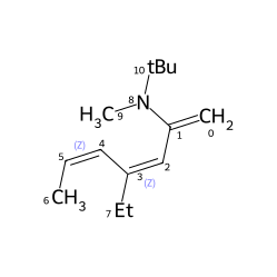 C=C(/C=C(\C=C/C)CC)N(C)C(C)(C)C